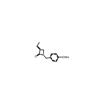 C/C=C1\CN(Cc2ccc(OC)cc2)C1=O